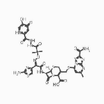 Cc1cc(SCC2=C(C(=O)O)N3C(=O)[C@@H](NC(=O)/C(=N\OC(C)(C)C(=O)NNC(=O)c4cc(=O)c(O)c[nH]4)c4csc(N)n4)[C@H]3SC2)n2nc(C(N)=O)nc2n1